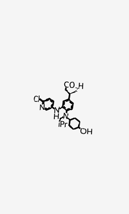 CC(C)CN(c1ccc([C@H](C)CC(=O)O)cc1Nc1ccc(Cl)nc1)C1CCC(O)CC1